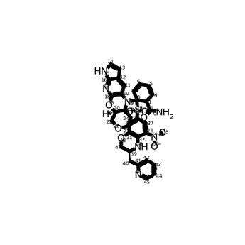 NC(=O)C1C=CC=CC1(N1c2cc3cc[nH]c3nc2O[C@@H]2COCC[C@@H]21)S(=O)(=O)c1cc2c(c([N+](=O)[O-])c1)N[C@@H](Cc1ccccn1)CO2